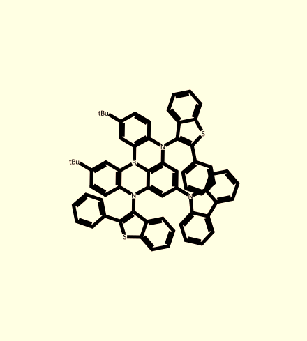 CC(C)(C)c1ccc2c(c1)B1c3cc(C(C)(C)C)ccc3N(c3c(-c4ccccc4)sc4ccccc34)c3cc(-n4c5ccccc5c5ccccc54)cc(c31)N2c1c(-c2ccccc2)sc2ccccc12